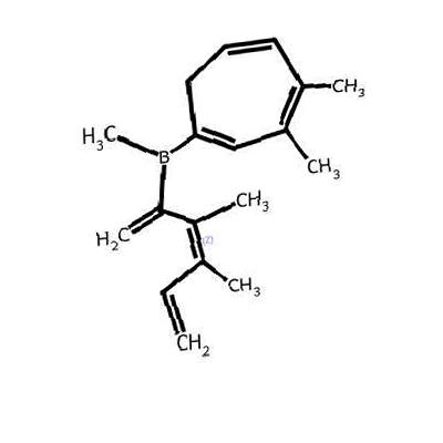 C=C/C(C)=C(/C)C(=C)B(C)C1=CC(C)=C(C)C=CC1